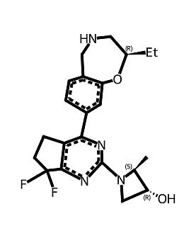 CC[C@@H]1CNCc2ccc(-c3nc(N4C[C@@H](O)[C@@H]4C)nc4c3CCC4(F)F)cc2O1